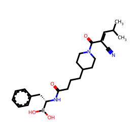 CC(C)/C=C(\C#N)C(=O)N1CCC(CCCC(=O)N[C@@H](Cc2ccccc2)B(O)O)CC1